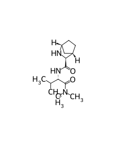 CC(C)[C@H](NC(=O)[C@H]1N[C@@H]2CC[C@H]1C2)C(=O)N(C)C